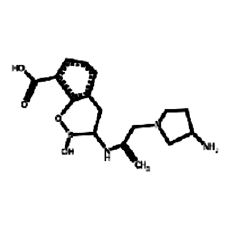 C=C(CN1CCC(N)C1)NC1Cc2cccc(C(=O)O)c2OB1O